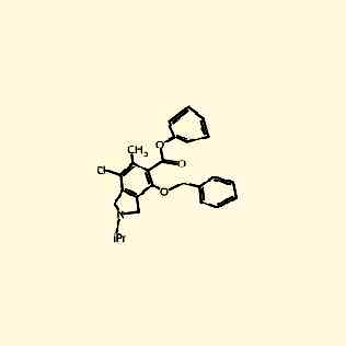 Cc1c(Cl)c2c(c(OCc3ccccc3)c1C(=O)Oc1ccccc1)CN(C(C)C)C2